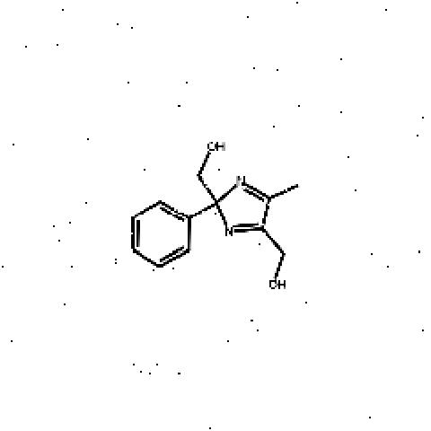 CC1=NC(CO)(c2ccccc2)N=C1CO